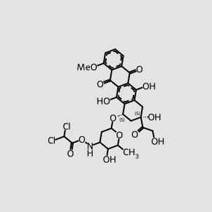 COc1cccc2c1C(=O)c1c(O)c3c(c(O)c1C2=O)C[C@@](O)(C(=O)CO)C[C@@H]3OC1CC(NOC(=O)C(Cl)Cl)C(O)C(C)O1